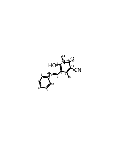 Cc1c(C=Nc2ccccc2)c(O)n(C)c(=O)c1C#N